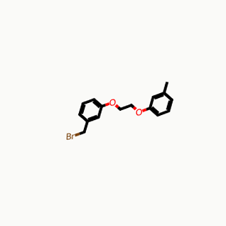 Cc1cccc(OCCOc2cccc(CBr)c2)c1